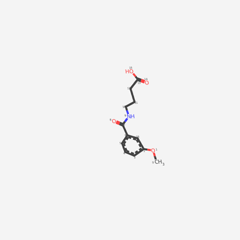 COc1cccc(C(=O)NCCCC(=O)O)c1